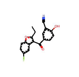 CCc1oc2ccc(F)cc2c1C(=O)c1ccc(O)c(C#N)c1